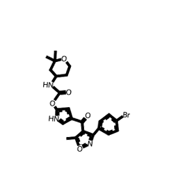 Cc1onc(-c2ccc(Br)cc2)c1C(=O)c1c[nH]c(OC(=O)NC2CCOC(C)(C)C2)c1